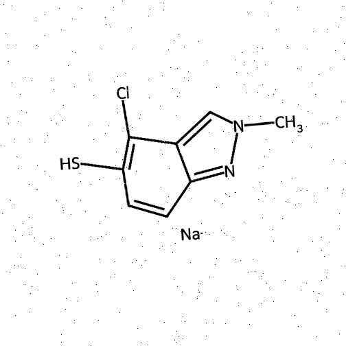 Cn1cc2c(Cl)c(S)ccc2n1.[Na]